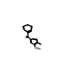 COc1cc(C(=O)C2=CCCCC2)ccc1F